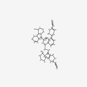 CC1CCCC2C1C1CCC=CC1N2C(N)CC(CCN1C2=C(CC(C#N)CC2)C2CCCC(C)C21)C1C=CC=C(C2CC=C(C#N)CC2)C1